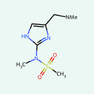 CNCc1c[nH]c(N(C)S(C)(=O)=O)n1